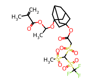 C=C(C)C(=O)OC(C)OC12CC3CC(CC(OC(=O)CS(=O)(=O)C(S(C)(=O)=O)S(=O)(=O)C(F)(F)F)(C3)C1)C2